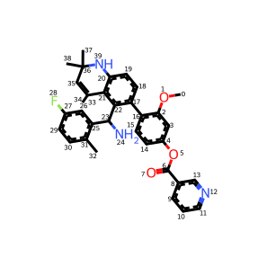 COc1cc(OC(=O)c2cccnc2)ccc1-c1ccc2c(c1C(N)c1cc(F)ccc1C)C(C)=CC(C)(C)N2